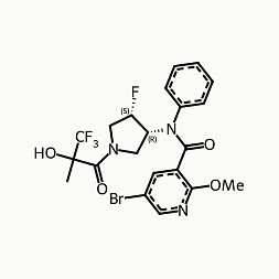 COc1ncc(Br)cc1C(=O)N(c1ccccc1)[C@@H]1CN(C(=O)C(C)(O)C(F)(F)F)C[C@@H]1F